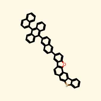 c1ccc2c(-c3c4ccccc4c(-c4ccc5cc(-c6ccc7oc8c9cc%10c(cc9ccc8c7c6)sc6ccccc6%10)ccc5c4)c4ccccc34)cccc2c1